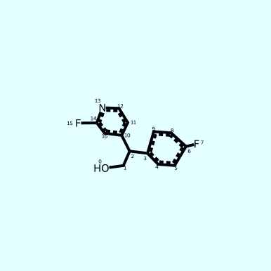 OCC(c1ccc(F)cc1)c1ccnc(F)c1